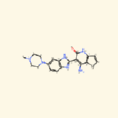 CN1CCN(c2ccc3nc(-c4c(N)c5[se]ccc5[nH]c4=O)[nH]c3c2)CC1